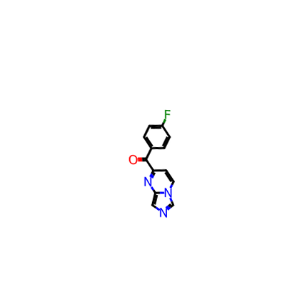 O=C(c1ccc(F)cc1)c1ccn2cncc2n1